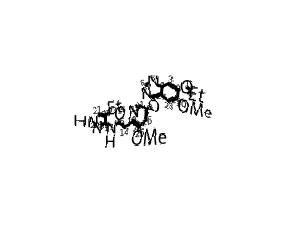 CCOc1cc2ncnc(Oc3cnc(CC(=O)Nc4n[nH]cc4CC)c(OC)c3)c2cc1OC